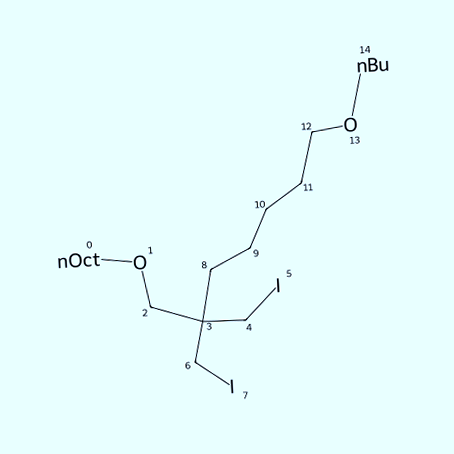 CCCCCCCCOCC(CI)(CI)CCCCCOCCCC